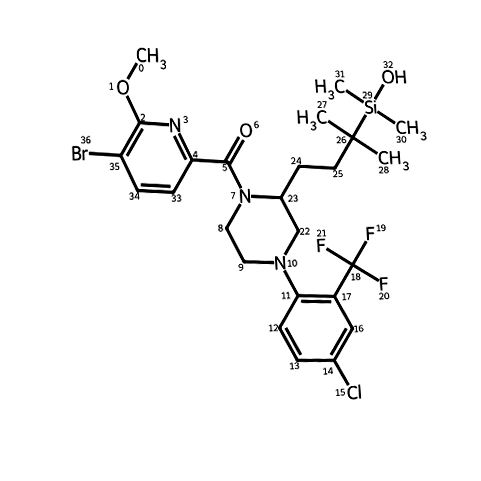 COc1nc(C(=O)N2CCN(c3ccc(Cl)cc3C(F)(F)F)CC2CCC(C)(C)[Si](C)(C)O)ccc1Br